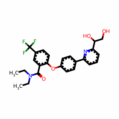 CCN(CC)C(=O)c1cc(C(F)(F)F)ccc1Oc1ccc(-c2cccc(C(O)CO)n2)cc1